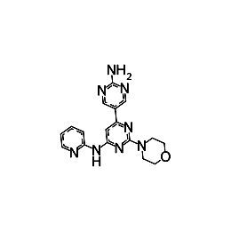 Nc1ncc(-c2cc(Nc3ccccn3)nc(N3CCOCC3)n2)cn1